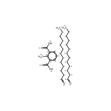 CCCCCCCCCCCCC=O.CCCCCCCCCCCCC=O.Cc1c(C(=O)O)cccc1C(=O)O